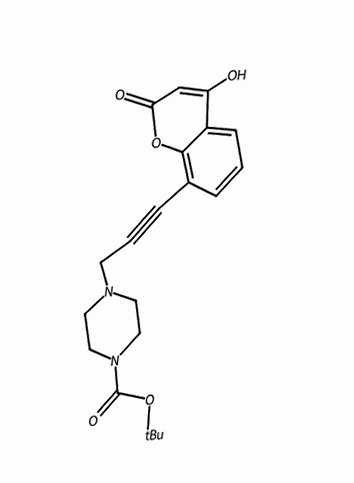 CC(C)(C)OC(=O)N1CCN(CC#Cc2cccc3c(O)cc(=O)oc23)CC1